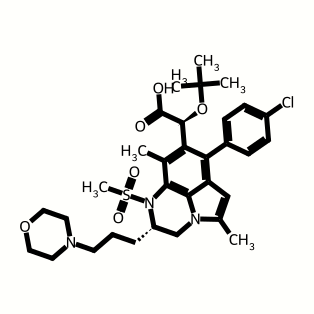 Cc1c([C@H](OC(C)(C)C)C(=O)O)c(-c2ccc(Cl)cc2)c2cc(C)n3c2c1N(S(C)(=O)=O)[C@@H](CCCN1CCOCC1)C3